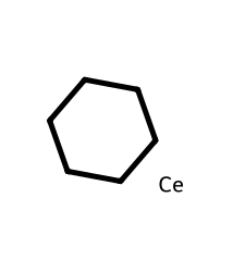 C1CCCCC1.[Ce]